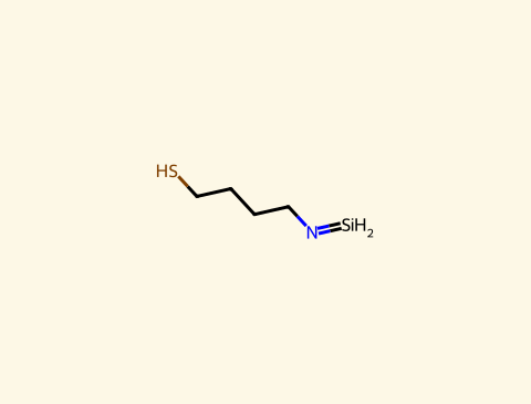 [SiH2]=NCCCCS